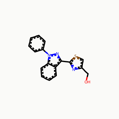 OCc1csc(-c2nn(-c3ccccc3)c3ccccc23)n1